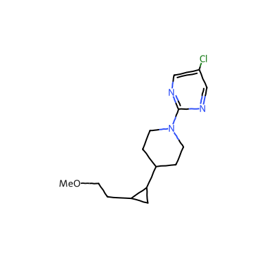 COCCC1CC1C1CCN(c2ncc(Cl)cn2)CC1